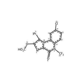 CC(C)c1c(OC(=O)O)nc2c(=O)n(C(F)(F)F)c3ccc(Cl)cc3n12